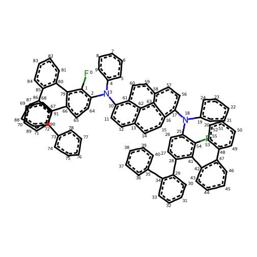 Fc1c(N(c2ccccc2)c2ccc3ccc4c(N(c5ccccc5)c5ccc(-c6ccccc6-c6ccccc6)c(-c6ccccc6-c6ccccc6)c5F)ccc5ccc2c3c54)ccc(-c2ccccc2-c2ccccc2)c1-c1ccccc1-c1ccccc1